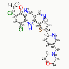 COc1cc(Nc2c(C#N)cnc3cc(-c4ccc(CN5CCOCC5)cn4)sc23)c(Cl)cc1Cl